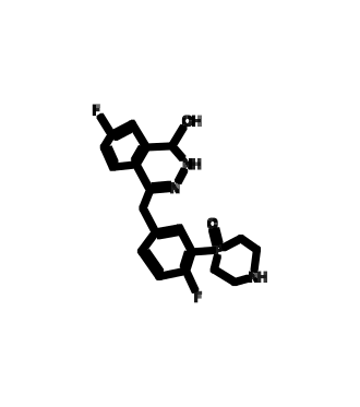 O=P1(c2cc(CC3=NNC(O)c4cc(F)ccc43)ccc2F)CCNCC1